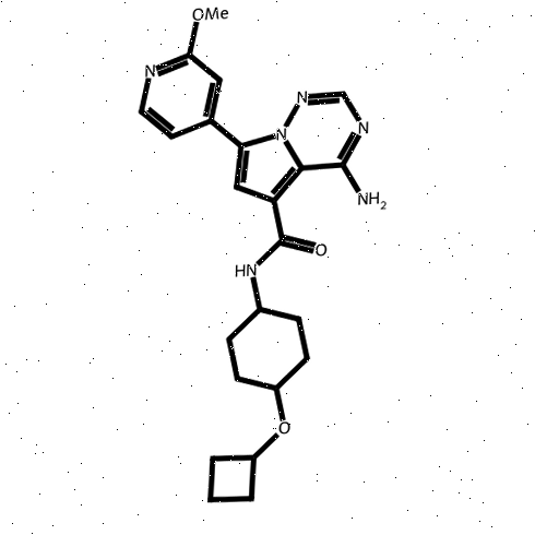 COc1cc(-c2cc(C(=O)NC3CCC(OC4CCC4)CC3)c3c(N)ncnn23)ccn1